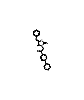 O=C(CN1C(=O)S/C(=C\c2ccccc2)C1=O)c1ccc(-c2ccccc2)cc1